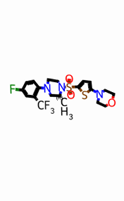 C[C@@H]1CN(c2ccc(F)cc2C(F)(F)F)CCN1S(=O)(=O)c1ccc(N2CCOCC2)s1